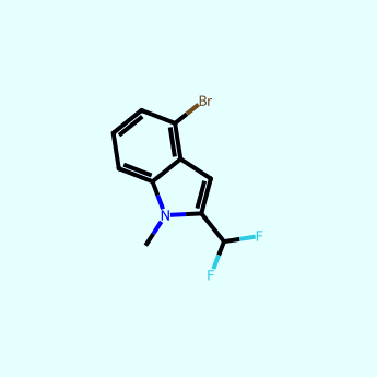 Cn1c(C(F)F)cc2c(Br)cccc21